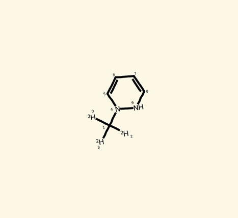 [2H]C([2H])([2H])N1C=CC=CN1